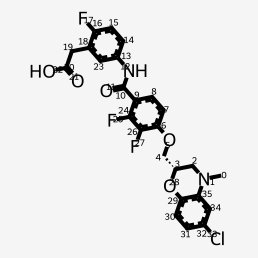 CN1C[C@@H](COc2ccc(C(=O)Nc3ccc(F)c(CC(=O)O)c3)c(F)c2F)Oc2ccc(Cl)cc21